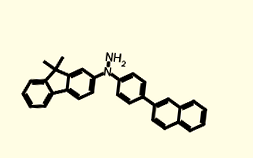 CC1(C)c2ccccc2-c2ccc(N(N)c3ccc(-c4ccc5ccccc5c4)cc3)cc21